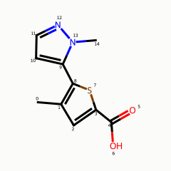 Cc1cc(C(=O)O)sc1-c1ccnn1C